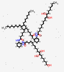 CCCCCCCCC1CC(CCCCC(=O)C[C@@H]2CCCC[C@@H]2NC(=O)CCCCCCCCCC(O)C(O)CCCCCCC)C(CCCCC(=O)N[C@H]2CCCC[C@H]2NC(=O)CCCCCCCCCC(O)C(O)CCCCCCO)CC1CCCCCCCC